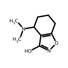 CN(C)C1CCCc2onc(O)c21